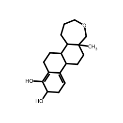 CC12CCC3C4=CCC(O)C(O)=C4CCC3C1CCCOC2